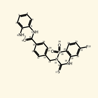 Nc1ccccc1NC(=O)c1ccc(CN2C(=S)Nc3cc(F)ccc3S2(=O)=O)cc1